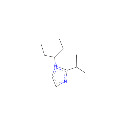 CCC(CC)n1ccnc1C(C)C